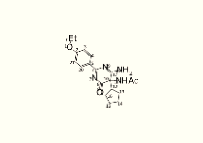 CCOc1ccc(C2=NC(=O)C(NC(C)=O)(C3CCCC3)C(N)=N2)cc1